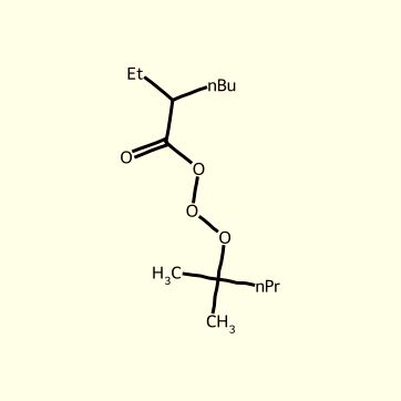 CCCCC(CC)C(=O)OOOC(C)(C)CCC